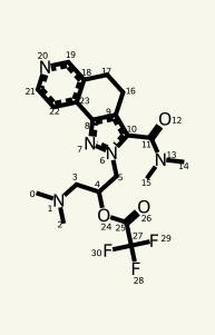 CN(C)CC(Cn1nc2c(c1C(=O)N(C)C)CCc1cnccc1-2)OC(=O)C(F)(F)F